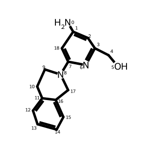 Nc1cc(CO)nc(N2CCc3ccccc3C2)c1